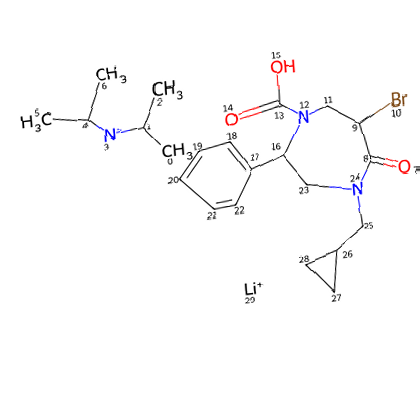 CC(C)[N-]C(C)C.O=C1C(Br)CN(C(=O)O)C(c2ccccc2)CN1CC1CC1.[Li+]